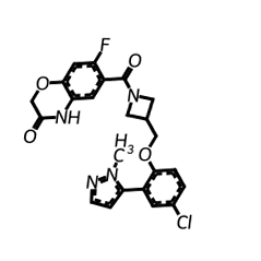 Cn1nccc1-c1cc(Cl)ccc1OCC1CN(C(=O)c2cc3c(cc2F)OCC(=O)N3)C1